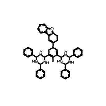 CC1=C(C2NC(c3ccccc3)NC(c3ccccc3)N2)CC(C2=Cc3c(oc4ccccc34)CC2)C=C1C1NC(c2ccccc2)NC(c2ccccc2)N1